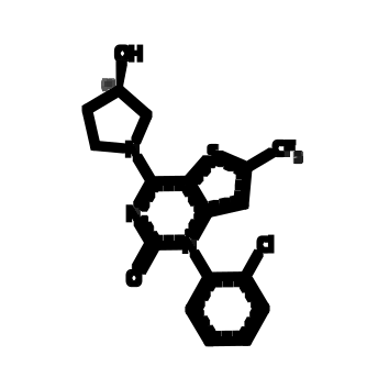 O=c1nc(N2CC[C@@H](O)C2)c2sc(C(F)(F)F)cc2n1-c1ccccc1Cl